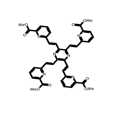 COC(=O)c1cccc(C=Cc2nc(C=Cc3cccc(C(=O)OC)n3)c(C=Cc3cccc(C(=O)OC)n3)nc2C=Cc2cccc(C(=O)OC)n2)n1